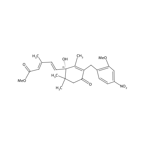 COC(=O)C=C(C)C=C[C@@]1(O)C(C)=C(Cc2ccc([N+](=O)[O-])cc2OC)C(=O)CC1(C)C